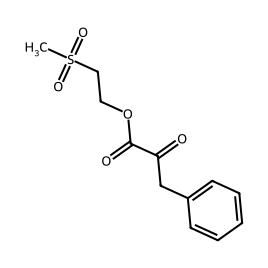 CS(=O)(=O)CCOC(=O)C(=O)Cc1ccccc1